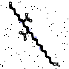 CCCCC/C=C/C/C=C/C/C(=C/C/C(=C/CCC[C]=O)[N+](=O)[O-])[N+](=O)[O-]